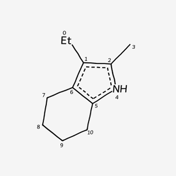 CCc1c(C)[nH]c2c1CCCC2